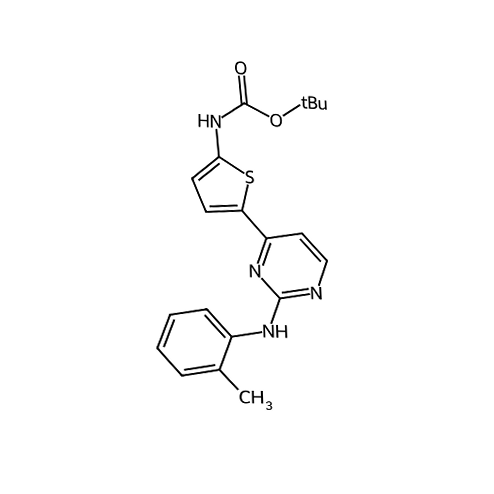 Cc1ccccc1Nc1nccc(-c2ccc(NC(=O)OC(C)(C)C)s2)n1